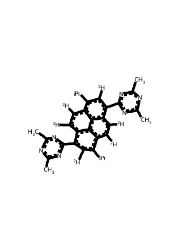 [2H]c1c(-c2nc(C)nc(C)n2)c2c([2H])c([2H])c3c(C(C)C)c([2H])c(-c4nc(C)nc(C)n4)c4c([2H])c([2H])c(c1C(C)C)c2c43